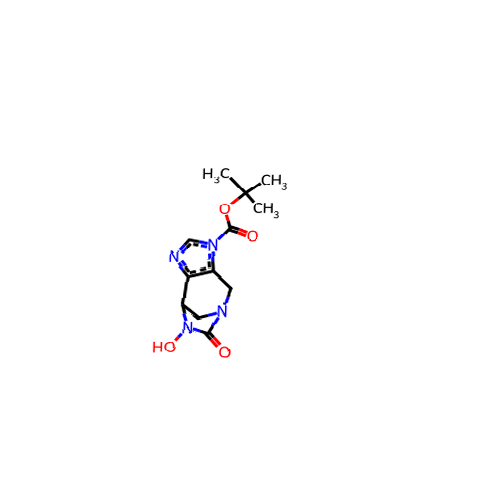 CC(C)(C)OC(=O)n1cnc2c1CN1CC2N(O)C1=O